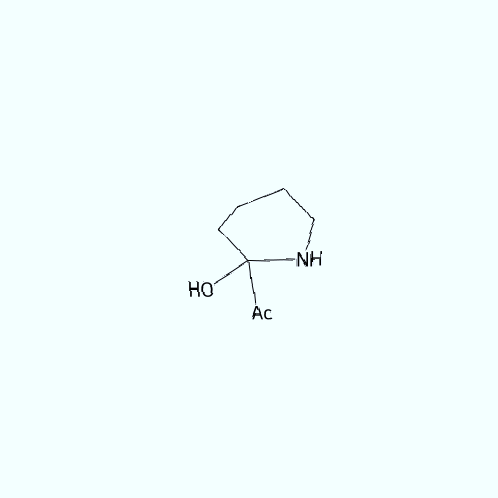 CC(=O)C1(O)CCCCN1